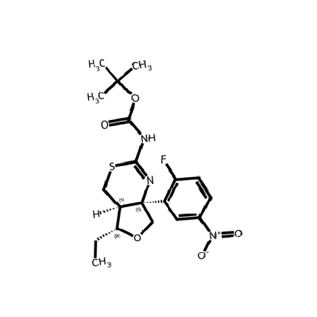 CC[C@H]1OC[C@]2(c3cc([N+](=O)[O-])ccc3F)N=C(NC(=O)OC(C)(C)C)SC[C@H]12